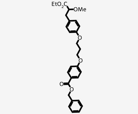 CCOC(=O)C(Cc1ccc(OCCCOc2ccc(C(=O)OCc3ccccc3)cc2)cc1)OC